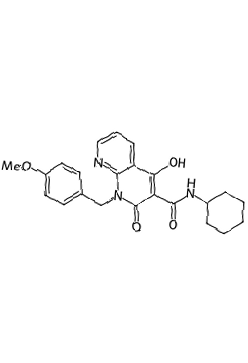 COc1ccc(Cn2c(=O)c(C(=O)NC3CCCCC3)c(O)c3cccnc32)cc1